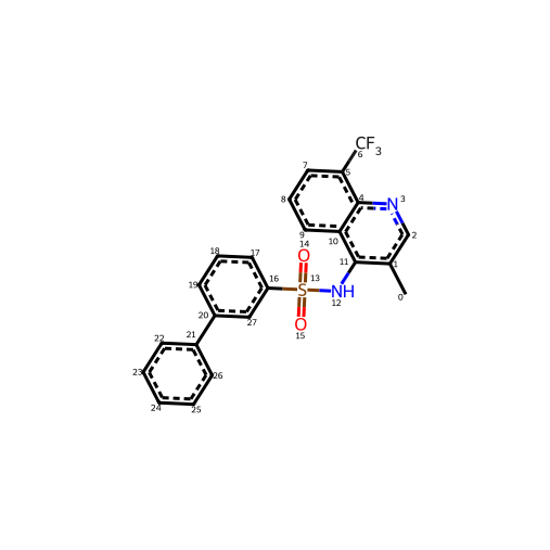 Cc1cnc2c(C(F)(F)F)cccc2c1NS(=O)(=O)c1cccc(-c2ccccc2)c1